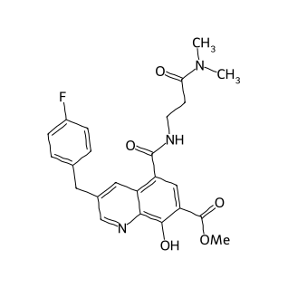 COC(=O)c1cc(C(=O)NCCC(=O)N(C)C)c2cc(Cc3ccc(F)cc3)cnc2c1O